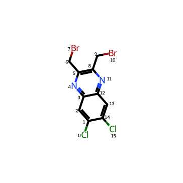 Clc1cc2nc(CBr)c(CBr)nc2cc1Cl